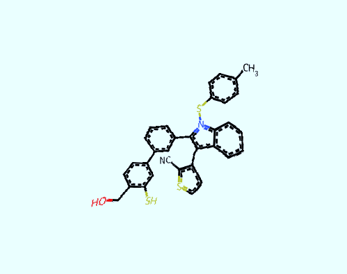 Cc1ccc(Sn2c(-c3cccc(-c4ccc(CO)c(S)c4)c3)c(-c3ccsc3C#N)c3ccccc32)cc1